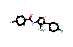 O=C(Nc1csc(-c2ccc(Br)cc2)c1C(=O)O)c1ccc(I)cc1